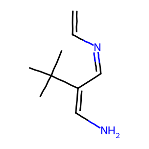 C=C/N=C\C(=C/N)C(C)(C)C